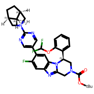 CC(C)(C)OC(=O)N1Cc2nc3cc(F)c(-c4cnc(N5C[C@H]6CC[C@@H](C5)[C@@H]6C(=O)O)nc4)cc3n2[C@@H](c2ccccc2OC(F)F)C1